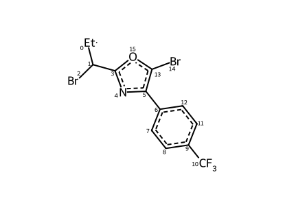 [CH2][CH]C(Br)c1nc(-c2ccc(C(F)(F)F)cc2)c(Br)o1